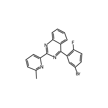 Cc1cccc(-c2nc(-c3cc(Br)ccc3F)c3ccccc3n2)n1